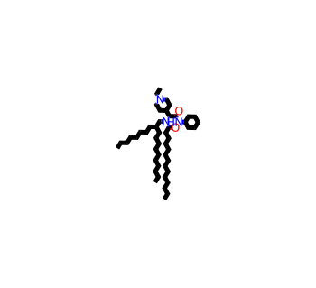 CCCCCCCCCCCCCC(=O)N(CC(CCCCCCCC)CCCCCCCCCC)C(C(=O)NC1CCCCC1)C1CCN(CC)CC1